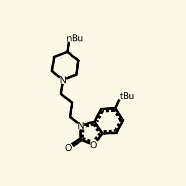 CCCCC1CCN(CCCn2c(=O)oc3ccc(C(C)(C)C)cc32)CC1